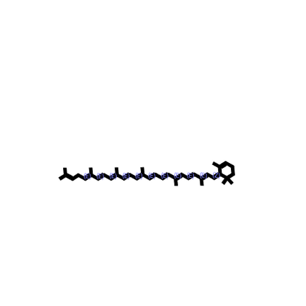 CC(C)=CC/C=C(C)/C=C/C=C(C)/C=C/C=C(C)/C=C/C=C/C(C)=C/C=C/C(C)=C/C=C1\C(C)=CCCC1(C)C